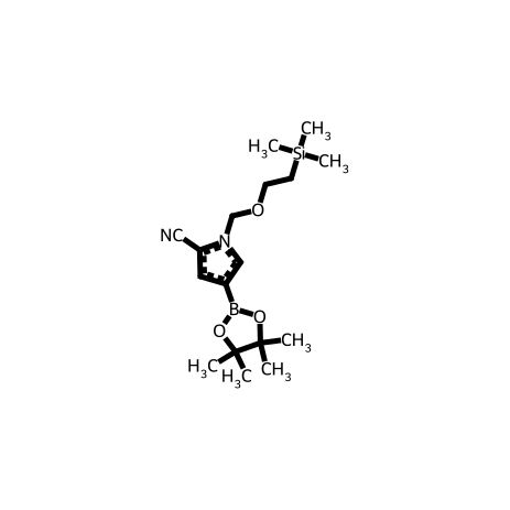 CC1(C)OB(c2cc(C#N)n(COCC[Si](C)(C)C)c2)OC1(C)C